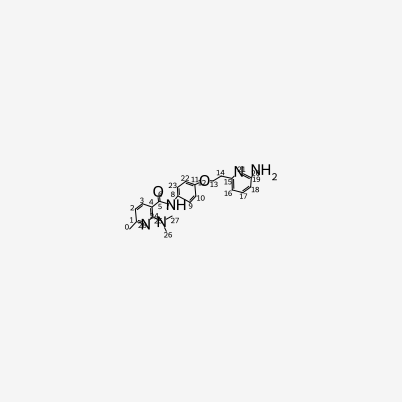 Cc1ccc(C(=O)Nc2ccc(OCCc3cccc(N)n3)cc2)c(N(C)C)n1